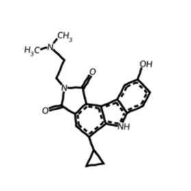 CN(C)CCN1C(=O)c2cc(C3CC3)c3[nH]c4ccc(O)cc4c3c2C1=O